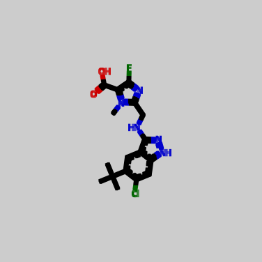 Cn1c(CNc2n[nH]c3cc(Cl)c(C(C)(C)C)cc23)nc(F)c1C(=O)O